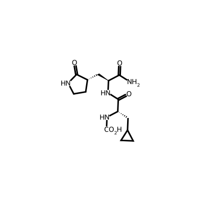 NC(=O)[C@H](C[C@@H]1CCNC1=O)NC(=O)[C@H](CC1CC1)NC(=O)O